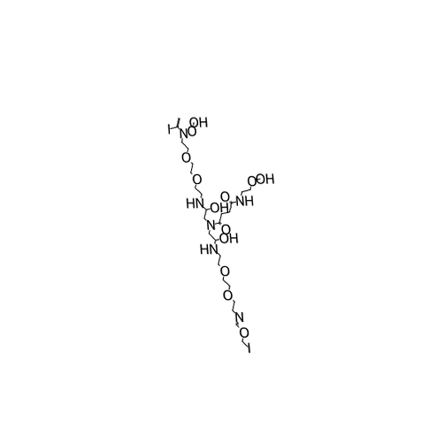 C=C(I)N(CCOCCOCCNC(O)CN(CC(O)NCCOCCOCC/N=C/OCI)C(=O)CCC(=O)NCCOO)OO